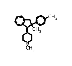 Cc1ccc(C2(C)Cc3ccccc3C2=C2CCN(C)CC2)cc1